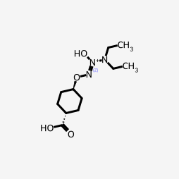 CCN(CC)/[N+](O)=N/O[C@H]1CC[C@H](C(=O)O)CC1